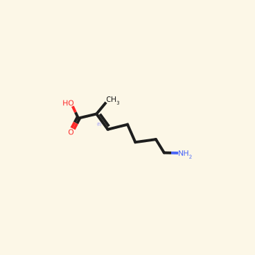 C/C(=C\CCCCN)C(=O)O